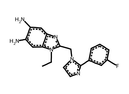 CCn1c(Cn2ccnc2-c2cccc(F)c2)nc2cc(N)c(N)cc21